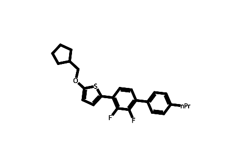 CCCc1ccc(-c2ccc(-c3ccc(OCC4CCCC4)s3)c(F)c2F)cc1